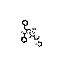 CC(OP(=O)(O)CC(Cc1ccccc1)NC(=O)c1ccccc1)C(=O)OC(=O)[C@@H]1CCCN1